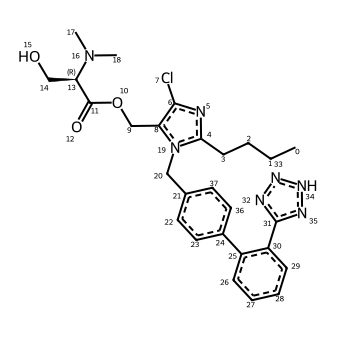 CCCCc1nc(Cl)c(COC(=O)[C@@H](CO)N(C)C)n1Cc1ccc(-c2ccccc2-c2nn[nH]n2)cc1